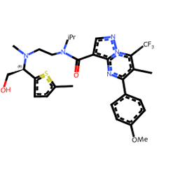 COc1ccc(-c2nc3c(C(=O)N(CCN(C)[C@H](CO)c4ccc(C)s4)C(C)C)cnn3c(C(F)(F)F)c2C)cc1